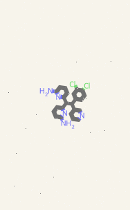 Nc1cccc(C(c2cccc(N)n2)C(c2cccnc2)c2ccc(Cl)c(Cl)c2)n1